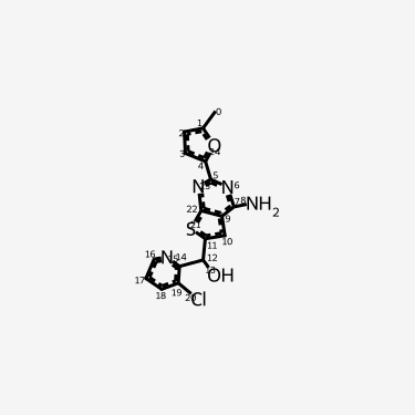 Cc1ccc(-c2nc(N)c3cc(C(O)c4ncccc4Cl)sc3n2)o1